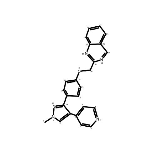 Cn1cc(-c2ccncc2)c(-c2ccc(OCc3ncc4ccccc4n3)cc2)n1